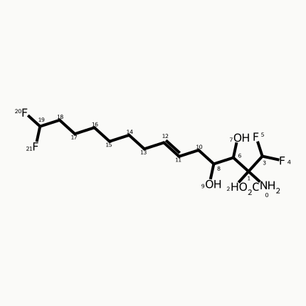 NC(C(=O)O)(C(F)F)C(O)C(O)C/C=C/CCCCCCC(F)F